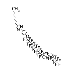 CCCCCCCCc1cnc(-c2ccc(OC(F)C(F)(F)C(F)(F)C(F)(F)C(F)(F)C(F)(F)C(F)(F)C(F)(F)C(F)(F)C(F)(F)OC(F)(F)C(F)(F)OC(F)(F)C(F)(F)C(F)(F)C(F)(F)F)cc2)nc1